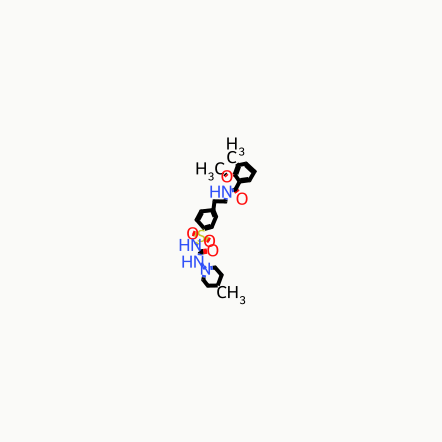 COc1c(C)cccc1C(=O)NCCc1ccc(S(=O)(=O)NC(=O)NN2CCC(C)CC2)cc1